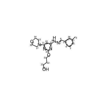 Cc1cccc(/C=N/Nc2cc(N3CCOCC3)nc(OCCCO)n2)c1